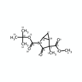 COC(=O)C1(C)C(=O)N(C(=O)OC(C)(C)C)C2CC21